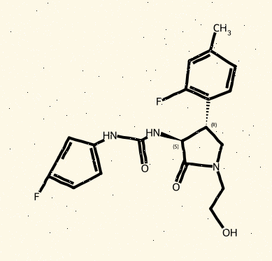 Cc1ccc([C@@H]2CN(CCO)C(=O)[C@H]2NC(=O)Nc2ccc(F)cc2)c(F)c1